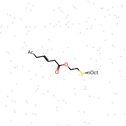 CCCCCCCCSCCOC(=O)C/C=C/CC(C)=O